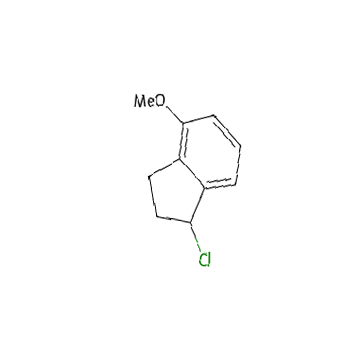 COc1cccc2c1CCC2Cl